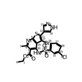 CCOC(=O)c1c(C)nc2sc(-c3cn[nH]c3)c(Br)c2c1NS(=O)(=O)c1cccc(Cl)c1